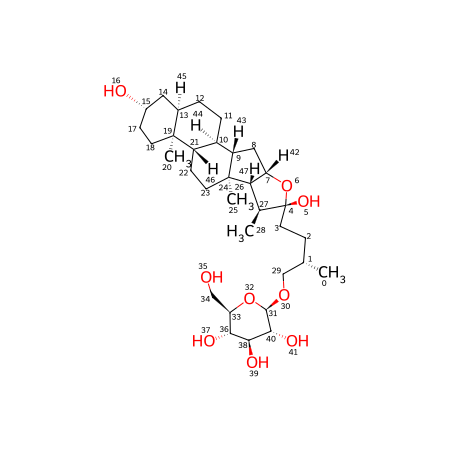 C[C@@H](CC[C@@]1(O)O[C@H]2C[C@H]3[C@@H]4CC[C@@H]5C[C@@H](O)CC[C@]5(C)[C@H]4CC[C@]3(C)[C@H]2[C@@H]1C)CO[C@@H]1O[C@H](CO)[C@@H](O)[C@H](O)[C@H]1O